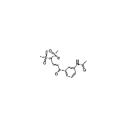 CC(=O)Nc1cccc(C(=O)C=CN(S(C)(=O)=O)S(C)(=O)=O)c1